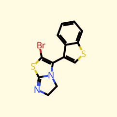 BrC1=C(c2csc3ccccc23)N2CCN=C2S1